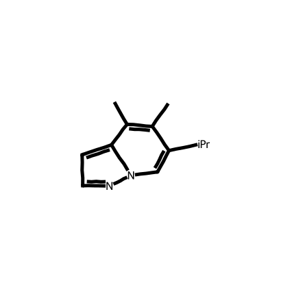 Cc1c(C(C)C)cn2nccc2c1C